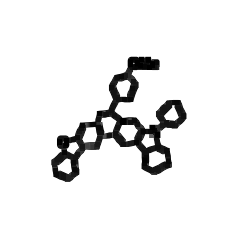 COc1ccc(-c2cc3cc4oc5ccccc5c4cc3c3cc4c5ccccc5n(-c5ccccc5)c4cc23)cc1